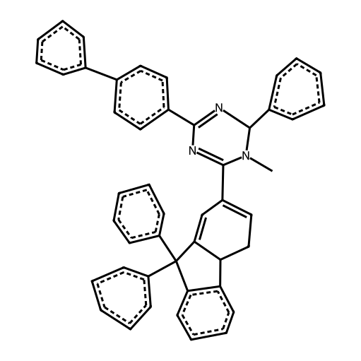 CN1C(C2=CCC3C(=C2)C(c2ccccc2)(c2ccccc2)c2ccccc23)=NC(c2ccc(-c3ccccc3)cc2)=NC1c1ccccc1